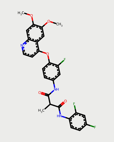 COc1cc2nccc(Oc3ccc(NC(=O)C(C)C(=O)Nc4ccc(F)cc4F)cc3F)c2cc1OC